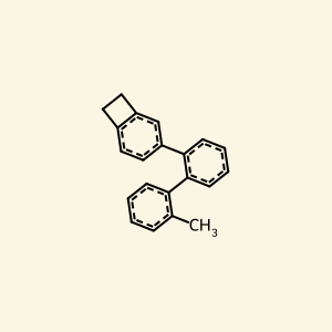 Cc1ccccc1-c1ccccc1-c1ccc2c(c1)CC2